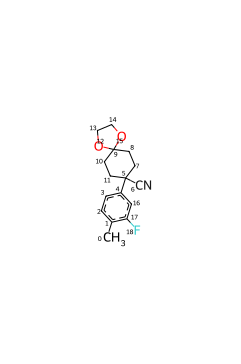 Cc1ccc(C2(C#N)CCC3(CC2)OCCO3)cc1F